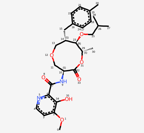 COc1ccnc(C(=O)N[C@H]2COC[C@H](Cc3ccc(C)cc3)[C@@H](OCC(C)C)[C@H](C)OC2=O)c1O